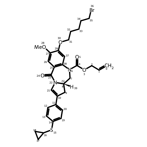 C=CCOC(=O)N1C[C@@H]2CC(c3ccc(SC4CC4)cc3)=CN2C(=O)c2cc(OC)c(OCCCCCBr)cc21